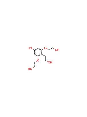 OCCOc1cc(O)cc(OCCO)c1CCO